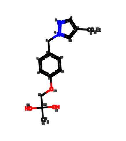 CCOC(=O)c1cnn(Cc2ccc(OCC(O)(O)C(F)(F)F)cc2)c1